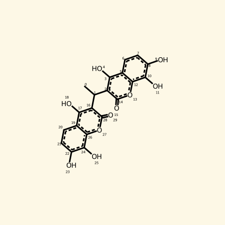 CC(c1c(O)c2ccc(O)c(O)c2oc1=O)c1c(O)c2ccc(O)c(O)c2oc1=O